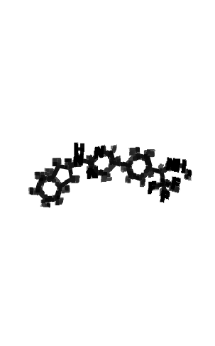 NC(c1ccc(-c2cnc(NC3Cc4ccccc4C3)nc2)cc1)C(F)(F)F